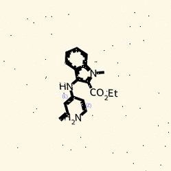 C=C/C=C(\C=C/N)Nc1c(C(=O)OCC)n(C)c2ccccc12